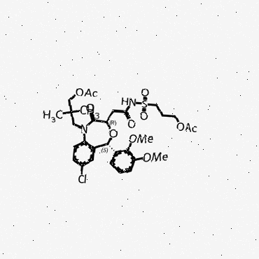 COc1cccc([C@H]2O[C@H](CC(=O)NS(=O)(=O)CCCOC(C)=O)C(=O)N(CC(C)(C)COC(C)=O)c3ccc(Cl)cc32)c1OC